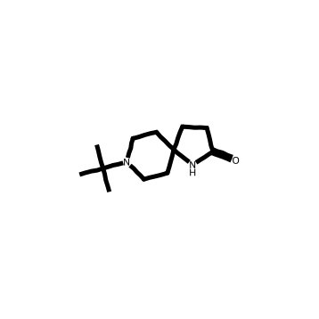 CC(C)(C)N1CCC2(CCC(=O)N2)CC1